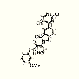 COc1cccc(CNC(=O)C(CO)N2Cc3ccc(-c4nc(Cl)ncc4Cl)cc3C2=O)c1